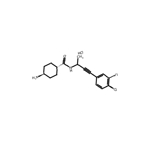 CC(C#Cc1ccc(Cl)c(Cl)c1)NC(=O)[C@H]1CC[C@H](N)CC1.Cl